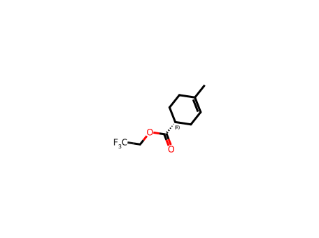 CC1=CC[C@H](C(=O)OCC(F)(F)F)CC1